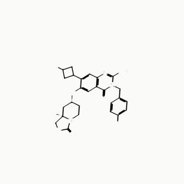 Cc1nc2cc(C3CC(O)C3)c(O[C@H]3CCN4C(=O)OC[C@@H]4C3)cc2c(=O)n1Cc1ccc(Cl)cc1